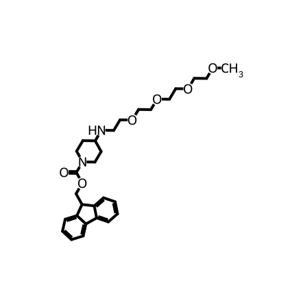 COCCOCCOCCOCCNC1CCN(C(=O)OCC2c3ccccc3-c3ccccc32)CC1